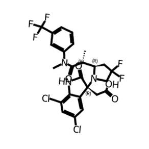 C[C@@H](C(=O)N(C)c1cccc(C(F)(F)F)c1)[C@H]1CC(F)(F)CN1[C@@]1(CC(=O)O)C(=O)Nc2c(Cl)cc(Cl)cc21